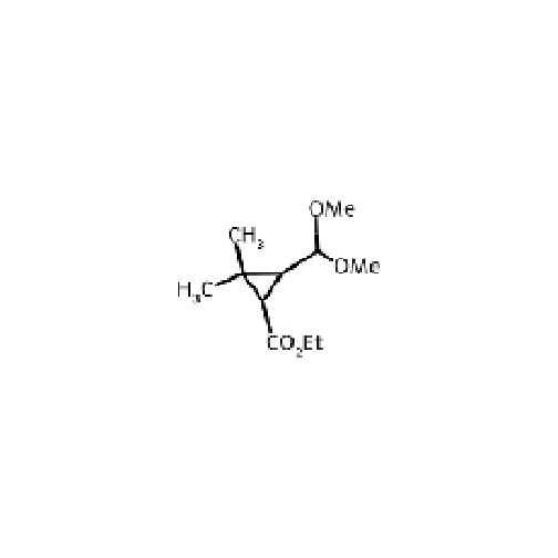 CCOC(=O)C1C(C(OC)OC)C1(C)C